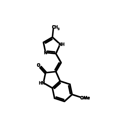 COc1ccc2c(c1)/C(=C/c1ncc(C)[nH]1)C(=O)N2